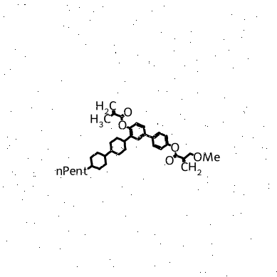 C=C(C)C(=O)Oc1ccc(-c2ccc(OC(=O)C(=C)COC)cc2)cc1C1CCC(C2CCC(CCCCC)CC2)CC1